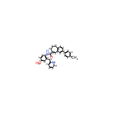 Cc1ccc(-c2ccc3c(c2)C=C(C(=O)Nc2ccc(O)cc2Cc2ccccn2)CCC3)cc1